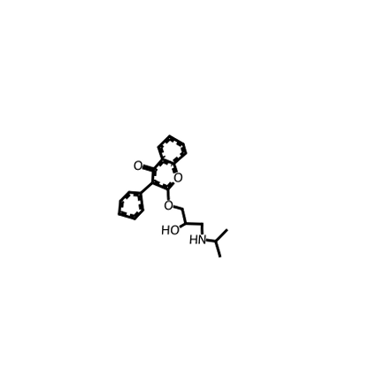 CC(C)NCC(O)COc1oc2ccccc2c(=O)c1-c1ccccc1